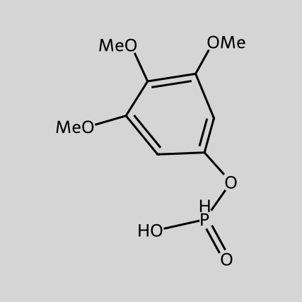 COc1cc(O[PH](=O)O)cc(OC)c1OC